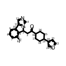 O=C(CC1c2c(F)cccc2-c2cncn21)C1CCC(c2ccoc2)CC1